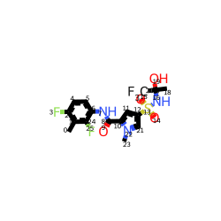 Cc1c(F)ccc(NC(=O)c2cc(S(=O)(=O)NC(C)(O)C(F)(F)F)cn2C)c1F